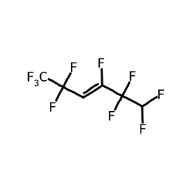 FC(=CC(F)(F)C(F)(F)F)C(F)(F)C(F)F